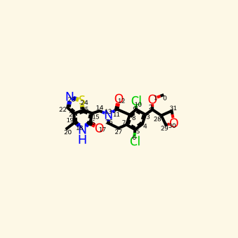 COC(c1cc(Cl)c2c(c1Cl)C(=O)N(Cc1c(=O)[nH]c(C)c3cnsc13)CC2)C1COC1